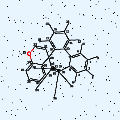 Cc1c(C)c(C)c2c(c1C)-c1c(C)c(C)c(C)c(C)c1C1(C=COc3ccccc31)c1c(C)c(C)c(C)c(C)c1-2